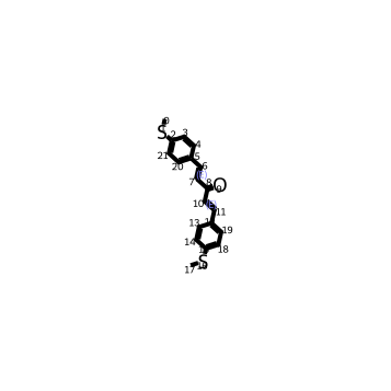 CSc1ccc(/C=C/C(=O)/C=C/c2ccc(SC)cc2)cc1